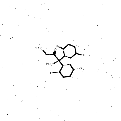 CC1CCC(C(C)C)[C@H]([C@@](C(=O)O)(C(=O)CC(=O)O)[C@@H]2C[C@H](C)CC[C@H]2C(C)C)C1